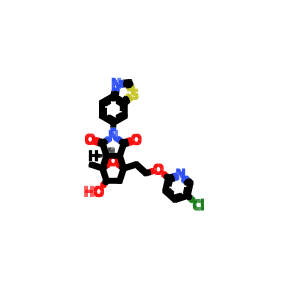 CC12OC(CCOc3ccc(Cl)cn3)(CC1O)C1C(=O)N(c3ccc4ncsc4c3)C(=O)[C@@H]12